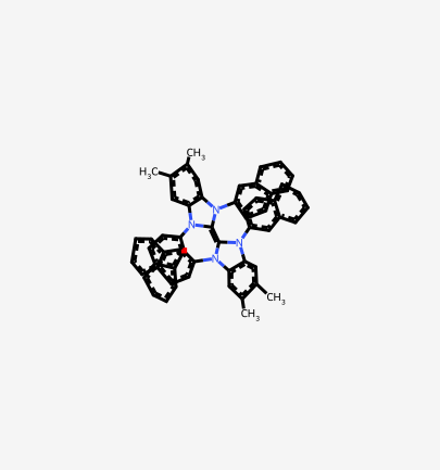 Cc1cc2c(cc1C)N(c1ccc3ccccc3c1)C(=C1N(c3ccc4ccccc4c3)c3cc(C)c(C)cc3N1c1ccc3ccccc3c1)N2c1ccc2ccccc2c1